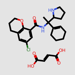 CC(NC(=O)c1cc(Cl)cc2c1OCCC2)(C1=CCCCC1)C1CCCN1.O=C(O)C=CC(=O)O